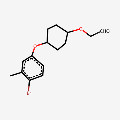 Cc1cc(OC2CCC(OCC=O)CC2)ccc1Br